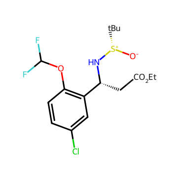 CCOC(=O)C[C@@H](N[S@@+]([O-])C(C)(C)C)c1cc(Cl)ccc1OC(F)F